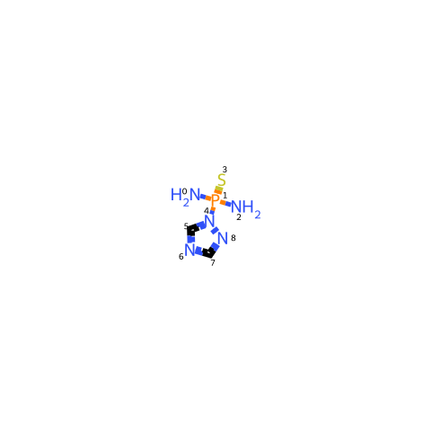 NP(N)(=S)n1cncn1